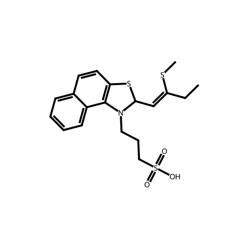 CCC(=CC1Sc2ccc3ccccc3c2N1CCCS(=O)(=O)O)SC